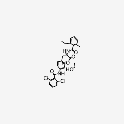 CCO.CCc1cccc(C)c1C(=O)N[C@@H](Cc1ccc(NC(=O)c2c(Cl)cccc2Cl)cc1)C(=O)O